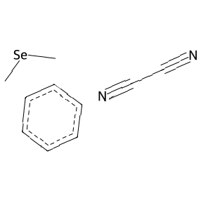 C[Se]C.N#CC#N.c1ccccc1